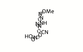 COC1CN(Cc2ccc(Nc3nccc(-c4ccc(OC5CCN(C(=O)CO)C5)c(C#N)c4)n3)cn2)C1